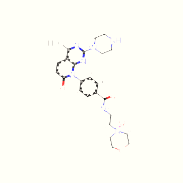 Cc1nc(N2CCNCC2)nc2c1ccc(=O)n2-c1ccc(C(=O)NCC[N+]2([O-])CCOCC2)cc1